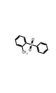 O=S(=O)(c1cc[c]cc1)c1ccccc1C(F)(F)F